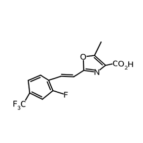 Cc1oc(C=Cc2ccc(C(F)(F)F)cc2F)nc1C(=O)O